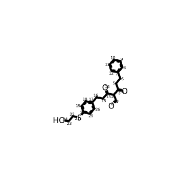 O=[C]C(C(=O)CCc1ccccc1)C(=O)CCc1ccc(SCCO)cc1